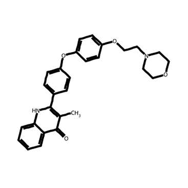 Cc1c(-c2ccc(Oc3ccc(OCCN4CCOCC4)cc3)cc2)[nH]c2ccccc2c1=O